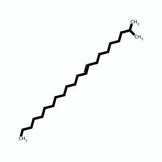 CCCCCCCCCCCCC=CCCCCCCC(C)C